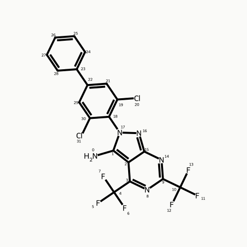 Nc1c2c(C(F)(F)F)nc(C(F)(F)F)nc2nn1-c1c(Cl)cc(-c2ccccc2)cc1Cl